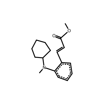 COC(=O)/C=C/c1ccccc1N(C)C1CCCCC1